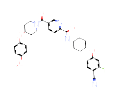 COc1ccc(OC2CCN(C(=O)c3ccc(C(=O)N[C@H]4CC[C@@H](Oc5ccc(C#N)c(F)c5)CC4)nc3)CC2)cc1